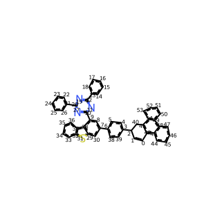 C1=CC(c2ccc(-c3cc(-c4nc(-c5ccccc5)nc(-c5ccccc5)n4)c4c(c3)sc3ccccc34)cc2)Cc2c1c1ccccc1c1ccccc21